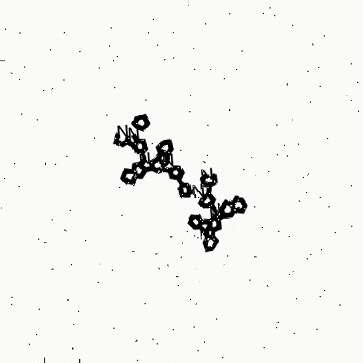 c1ccc(-n2c3ccc(-n4c5cc6ccccc6cc5c5cc6c7cc(-c8cccc(-n9c%10ccc(-n%11c%12cc%13ccccc%13cc%12c%12cc%13c%14ccccc%14n%14c%15ccccc%15c(c%12%11)c%13%14)cc%10c%10ccncc%109)c8)ccc7n7c8ccccc8c(c54)c67)cc3c3cccnc32)cc1